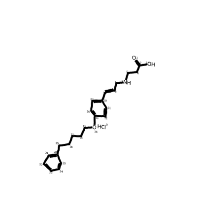 Cl.O=C(O)CCNC/C=C/c1ccc(OCCCCCc2ccccc2)cc1